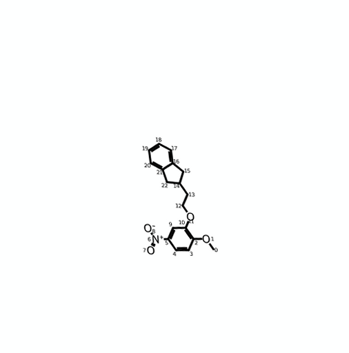 COc1ccc([N+](=O)[O-])cc1OCCC1Cc2ccccc2C1